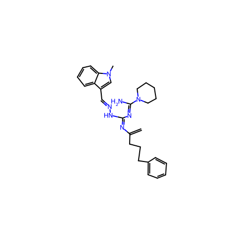 C=C(CCCc1ccccc1)/N=C(\N=C(/N)N1CCCCC1)N/N=C/c1cn(C)c2ccccc12